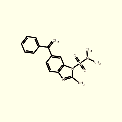 C=C(c1ccccc1)c1ccc2nc(N)n(S(=O)(=O)N(C)C)c2c1